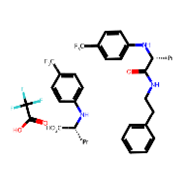 CC(C)[C@@H](Nc1ccc(C(F)(F)F)cc1)C(=O)NCCc1ccccc1.CC(C)[C@@H](Nc1ccc(C(F)(F)F)cc1)C(=O)O.O=C(O)C(F)(F)F